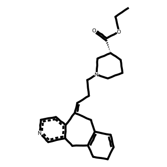 CCOC(=O)[C@@H]1CCCN(CC/C=C2\CC3=C(CCC=C3)Cc3cnccc32)C1